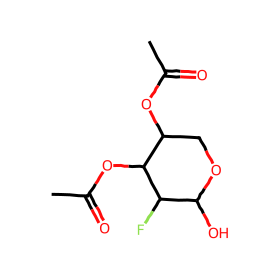 CC(=O)OC1COC(O)C(F)C1OC(C)=O